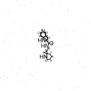 O=C(NCC1CC12CCCCN2)c1cc2cnccc2[nH]1